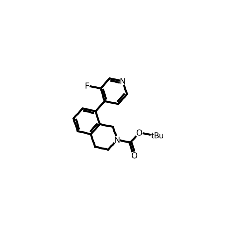 CC(C)(C)OC(=O)N1CCc2cccc(-c3ccncc3F)c2C1